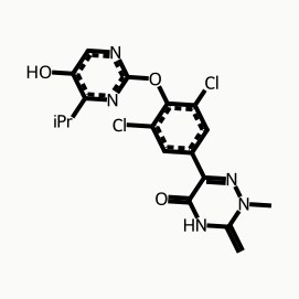 C=C1NC(=O)C(c2cc(Cl)c(Oc3ncc(O)c(C(C)C)n3)c(Cl)c2)=NN1C